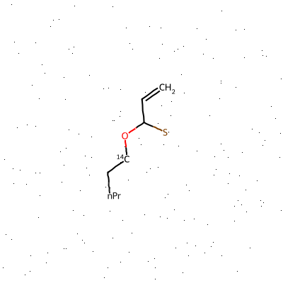 C=CC([S])O[14CH2]CCCC